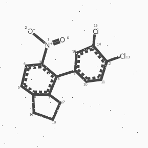 O=[N+]([O-])c1ccc2c(c1-c1ccc(Cl)c(Cl)c1)CCC2